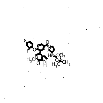 Cn1cc(-c2cc(C(=O)N3CCC(NC(=O)OC(C)(C)C)C3)ccc2Oc2ccc(F)cc2F)c2cc[nH]c2c1=O